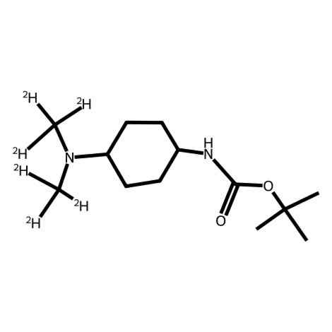 [2H]C([2H])([2H])N(C1CCC(NC(=O)OC(C)(C)C)CC1)C([2H])([2H])[2H]